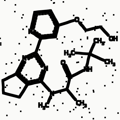 CC(C(=O)NC(C)(C)C)N(C)c1nc(-c2cc(OCCO)ccn2)nc2c1CCC2